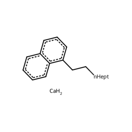 CCCCCCCCCc1cccc2ccccc12.[CaH2]